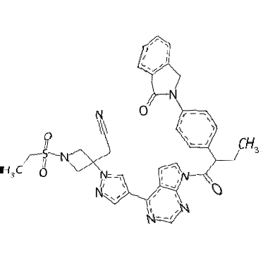 CCC(C(=O)n1ccc2c(-c3cnn(C4(CC#N)CN(S(=O)(=O)CC)C4)c3)ncnc21)c1ccc(N2Cc3ccccc3C2=O)cc1